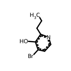 CCCc1nccc(Br)c1O